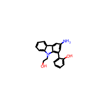 Nc1cc(-c2ccccc2O)c2c(c1)c1ccccc1n2CCO